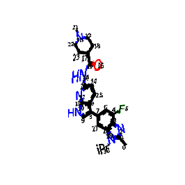 Cc1nc2c(F)cc(-c3c[nH]c4nc(NC(=O)C5CCN(C)CC5)ccc34)cc2n1C(C)C